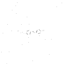 Nc1ccc(/C=C/c2ccc(OCCO)nc2)cc1